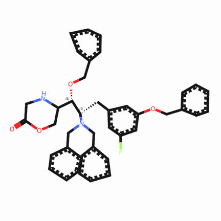 O=C1CNC([C@H](OCc2ccccc2)[C@H](Cc2cc(F)cc(OCc3ccccc3)c2)N(Cc2ccccc2)Cc2ccccc2)CO1